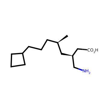 C[C@H](CCCC1CCC1)C[C@H](CN)CC(=O)O